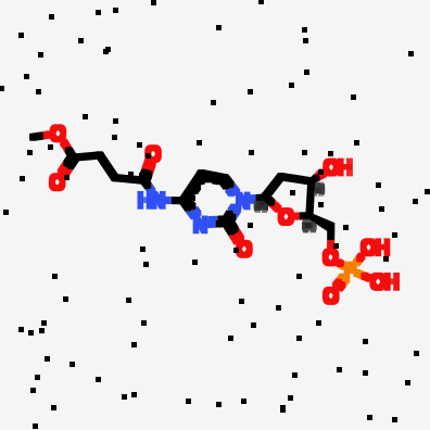 COC(=O)CCC(=O)Nc1ccn([C@H]2C[C@@H](O)[C@@H](COP(=O)(O)O)O2)c(=O)n1